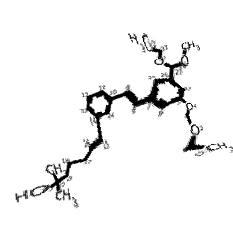 CCOCOc1cc(C=Cc2cccc(CCCCCC(C)(C)O)c2)cc(C(OC)OCC)c1